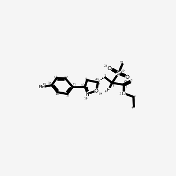 C=C(OCC)C(F)(C[C@H]1CC(c2ccc(Br)cc2)=NO1)S(C)(=O)=O